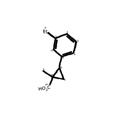 CCc1cccc(C2CC2(C)C(=O)O)c1